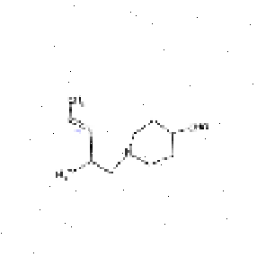 C/C=N/C(C)CN1CCC(C=O)CC1